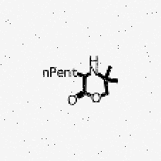 CCCCCC1NC(C)(C)COC1=O